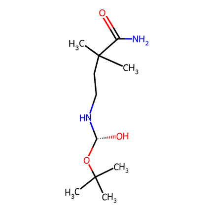 CC(C)(C)O[C@@H](O)NCCC(C)(C)C(N)=O